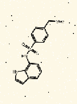 CSCc1ccc(S(=O)(=O)Nc2cccc3cc[nH]c23)cc1